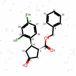 O=C1C[C@@H](C(=O)OCc2ccccc2)[C@H](c2ccc(F)cc2F)C1